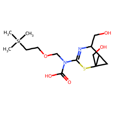 C[Si](C)(C)CCOCN(C(=O)O)C1=NC(CO)C2CC2(CO)S1